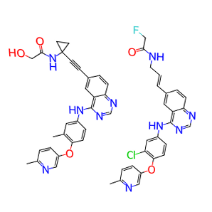 Cc1ccc(Oc2ccc(Nc3ncnc4ccc(C#CC5(NC(=O)CO)CC5)cc34)cc2C)cn1.Cc1ccc(Oc2ccc(Nc3ncnc4ccc(C=CCNC(=O)CF)cc34)cc2Cl)cn1